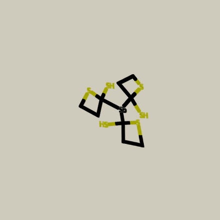 S[C]1([Sb]([C]2(S)CCS2)[C]2(S)CCS2)CCS1